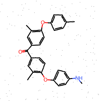 CNc1ccc(Oc2ccc(C(=O)c3ccc(Oc4ccc(C)cc4)c(C)c3)cc2C)cc1